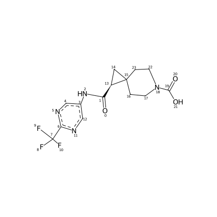 O=C(Nc1cnc(C(F)(F)F)nc1)[C@H]1CC12CCN(C(=O)O)CC2